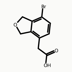 O=C(O)Cc1ccc(Br)c2c1COC2